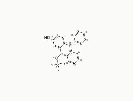 C[Si](C)(C)OCc1ccccc1P(c1ccccc1)c1ccccc1.Cl